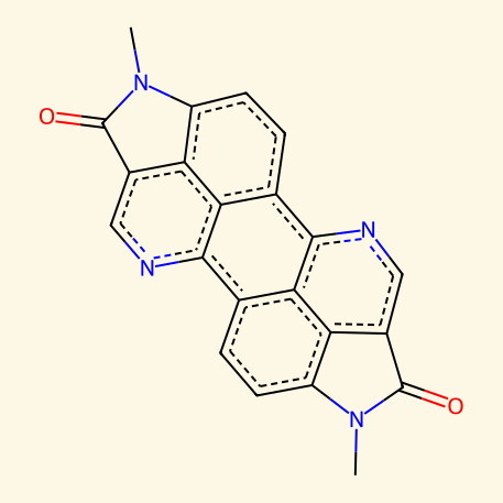 CN1C(=O)c2cnc3c4ccc5c6c(cnc(c7ccc1c2c73)c64)C(=O)N5C